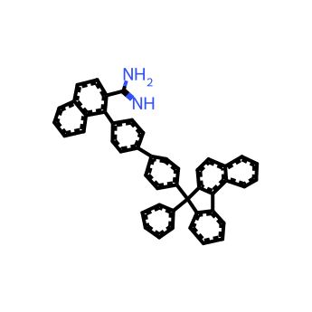 N=C(N)c1ccc2ccccc2c1-c1ccc(-c2ccc(C3(c4ccccc4)c4ccccc4-c4c3ccc3ccccc43)cc2)cc1